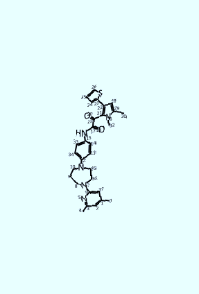 Cc1cc(C)nc(N2CCCN(c3ccc(NC(=O)C(=O)c4c(-c5cccs5)cc(C)n4C)cc3)CC2)c1